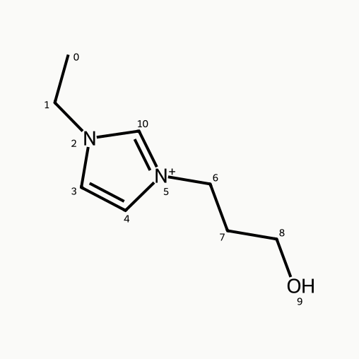 CCn1cc[n+](CCCO)c1